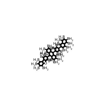 Bc1c(B)c(-c2c3c(B)c(B)c(B)c(B)c3c(-c3c(B)c(B)c4c(oc5c(B)c(B)c(B)c(B)c54)c3B)c3c(B)c(B)c(B)c(B)c23)c(B)c(B)c1-c1c(B)c(B)c2c(B)c(B)c(B)c(B)c2c1B